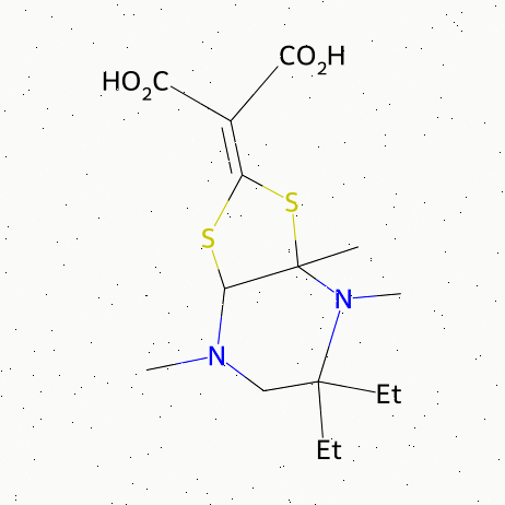 CCC1(CC)CN(C)C2SC(=C(C(=O)O)C(=O)O)SC2(C)N1C